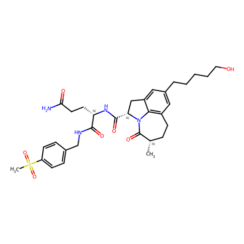 C[C@H]1CCc2cc(CCCCCO)cc3c2N(C1=O)[C@H](C(=O)N[C@@H](CCC(N)=O)C(=O)NCc1ccc(S(C)(=O)=O)cc1)C3